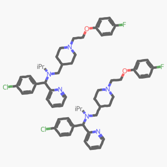 CC(C)N(CC1CCN(CCOc2ccc(F)cc2)CC1)C(c1ccc(Cl)cc1)c1ccccn1.CC(C)N(CC1CCN(CCOc2ccc(F)cc2)CC1)C(c1ccc(Cl)cc1)c1ccccn1